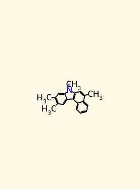 Cc1cc2c3c4ccccc4c(C)cc3n(C)c2cc1C